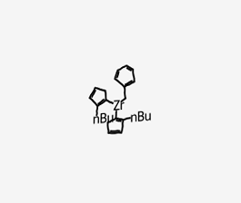 CCCCC1=[C]([Zr]([CH2]c2ccccc2)[C]2=C(CCCC)C=CC2)CC=C1